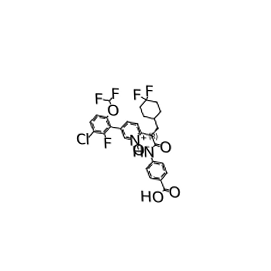 O=C(O)c1ccc(NC(=O)[C@H](CC2CCC(F)(F)CC2)c2ccc(-c3c(OC(F)F)ccc(Cl)c3F)c[n+]2[O-])cc1